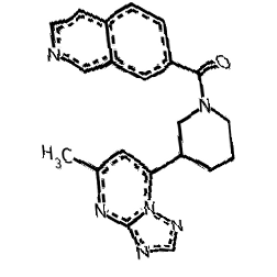 Cc1cc(C2CCCN(C(=O)c3ccc4ccncc4c3)C2)n2ncnc2n1